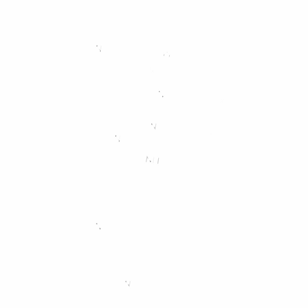 CN1CCCCC1c1cc2cnc(Nc3ccc(N(C)C4CCNCC4)cc3)nc2n(Cc2ccoc2C2CC2)c1=O